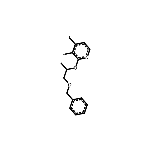 CC(COCc1ccccc1)Oc1nccc(I)c1F